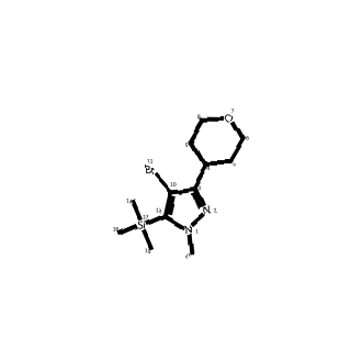 Cn1nc(C2CCOCC2)c(Br)c1[Si](C)(C)C